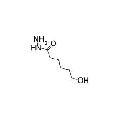 NNC(=O)CCCCCO